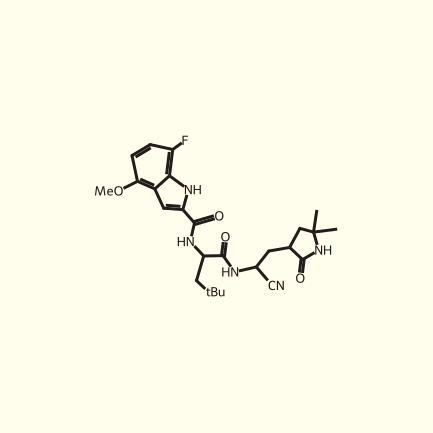 COc1ccc(F)c2[nH]c(C(=O)NC(CC(C)(C)C)C(=O)NC(C#N)CC3CC(C)(C)NC3=O)cc12